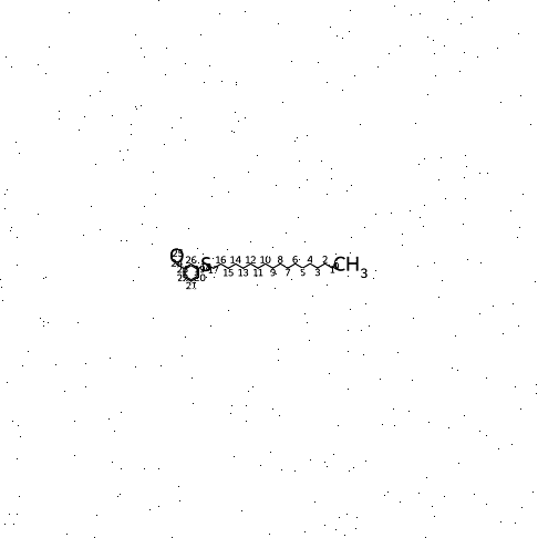 CCCCCCCCCCCCCCCCCCSc1cccc(C=O)c1